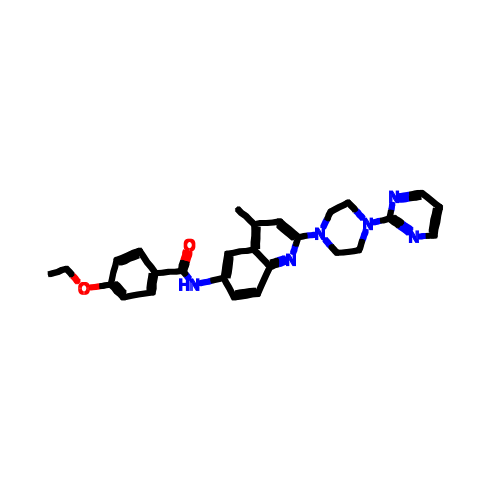 CCOc1ccc(C(=O)Nc2ccc3nc(N4CCN(c5ncccn5)CC4)cc(C)c3c2)cc1